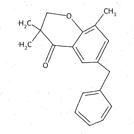 [CH2]C1([CH2])COc2c(C)cc(Cc3ccccc3)cc2C1=O